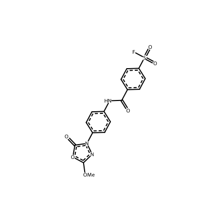 COc1nn(-c2ccc(NC(=O)c3ccc(S(=O)(=O)F)cc3)cc2)c(=O)o1